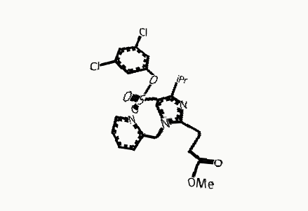 COC(=O)CCc1nc(C(C)C)c(S(=O)(=O)Oc2cc(Cl)cc(Cl)c2)n1Cc1ccccn1